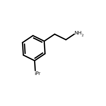 CC(C)c1cccc(CCN)c1